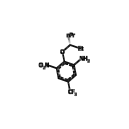 CCC[C@H](CC)Oc1c(N)cc(C(F)(F)F)cc1[N+](=O)[O-]